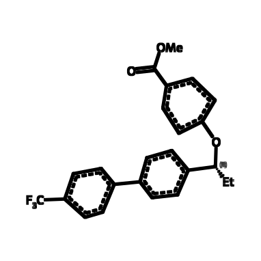 CC[C@@H](Oc1ccc(C(=O)OC)cc1)c1ccc(-c2ccc(C(F)(F)F)cc2)cc1